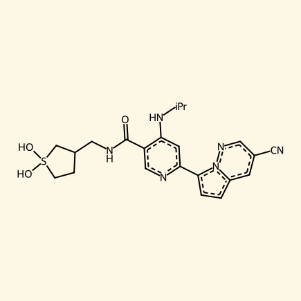 CC(C)Nc1cc(-c2ccc3cc(C#N)cnn23)ncc1C(=O)NCC1CCS(O)(O)C1